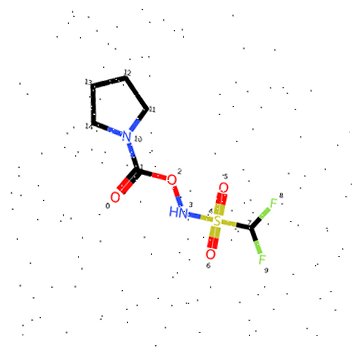 O=C(ONS(=O)(=O)C(F)F)N1CCCC1